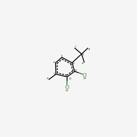 Cc1ccc(C(C)(C)C)c(Cl)c1Cl